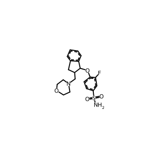 NS(=O)(=O)c1ccc(OC2c3ccccc3CC2CN2CCOCC2)c(F)c1